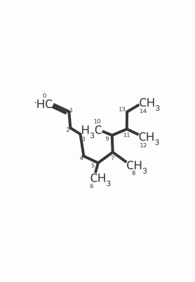 [CH]=CCCCC(C)C(C)C(C)C(C)CC